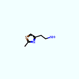 Cc1nc(CC[NH])cs1